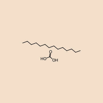 CCCCCCCCCCCCCC.O=C(O)O